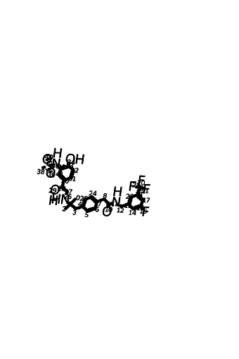 CC(C)(Cc1ccc(CC(=O)NCc2cc(F)cc(C(F)(F)F)c2)cc1)NC[C@@H](O)c1ccc(O)c(NS(C)(=O)=O)c1